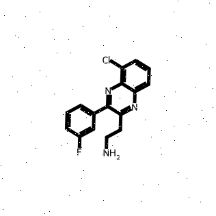 NCCc1nc2cccc(Cl)c2nc1-c1cccc(F)c1